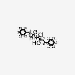 O=C(N[C@@H](Cl)C(O)CCc1ccccc1)OCc1ccccc1